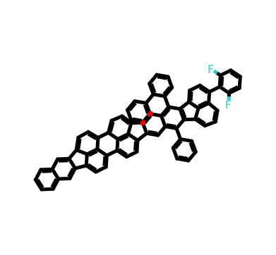 Fc1cccc(F)c1-c1ccc2c3c(-c4ccccc4-c4ccccc4)c4cc5c(cc4c(-c4ccccc4)c3c3cccc1c32)c1ccc2c3ccc4c6c(ccc(c7ccc5c1c27)c63)-c1cc2ccccc2cc1-4